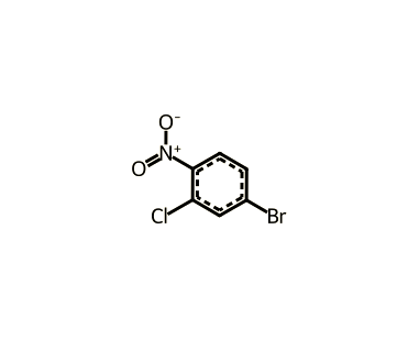 O=[N+]([O-])c1ccc(Br)cc1Cl